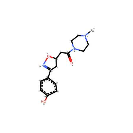 CC(=O)N1CCN(C(=O)CC2CC(c3ccc(O)cc3)=NO2)CC1